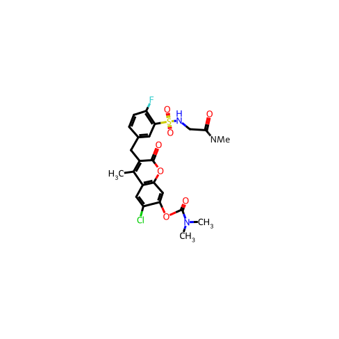 CNC(=O)CNS(=O)(=O)c1cc(Cc2c(C)c3cc(Cl)c(OC(=O)N(C)C)cc3oc2=O)ccc1F